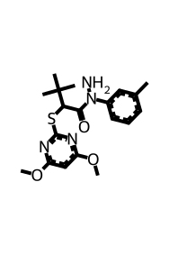 COc1cc(OC)nc(SC(C(=O)N(N)c2cccc(C)c2)C(C)(C)C)n1